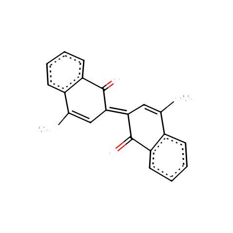 COC1=C/C(=C2/C=C(OC)c3ccccc3C2=O)C(=O)c2ccccc21